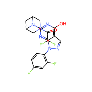 O=C(C(F)F)N1CC2CC(C1)N2c1nc(O)c2cnn(-c3ccc(F)cc3F)c2n1